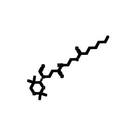 CCCCCCC(=O)SCCNC(=O)CCN(C=O)[C@@H]1OC(C)(C)OCC1(C)C